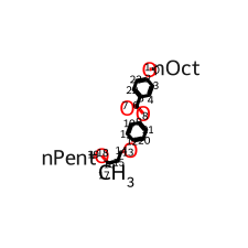 CCCCCCCCOc1ccc(C(=O)Oc2ccc(OCCC(C)OCCCCC)cc2)cc1